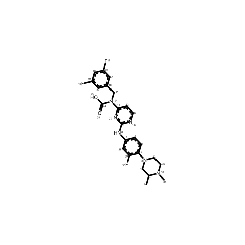 CC1CN(c2ccc(Nc3nccc(N(Cc4cc(F)cc(F)c4)C(=O)O)n3)cc2F)CCN1C